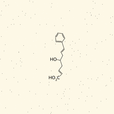 O=C(O)C=CCC(O)CC=Cc1ccccc1